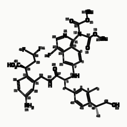 Cc1cc(CC(Nc2ccc3c(N(C(=O)OC(C)(C)C)C(=O)OC(C)(C)C)ncc(F)c3c2)C(=O)NCc2cc(N)ccc2[C@H](CC(F)F)C(=O)O)ccc1[C@@H](C)CO